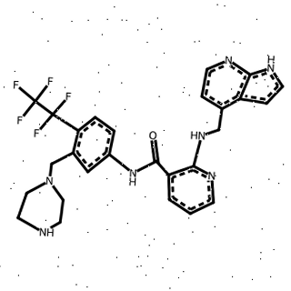 O=C(Nc1ccc(C(F)(F)C(F)(F)F)c(CN2CCNCC2)c1)c1cccnc1NCc1ccnc2[nH]ccc12